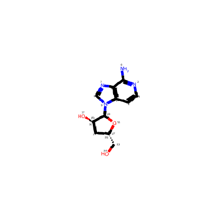 Nc1nccc2c1ncn2C1O[C@H](CO)C[C@H]1O